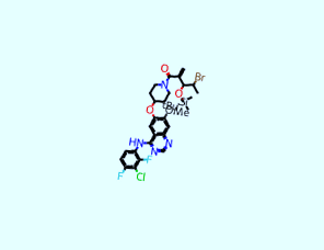 C=C(C(=O)N1CCC(Oc2cc3c(Nc4ccc(F)c(Cl)c4F)ncnc3cc2OC)CC1)C(O[Si](C)(C)C(C)(C)C)C(C)Br